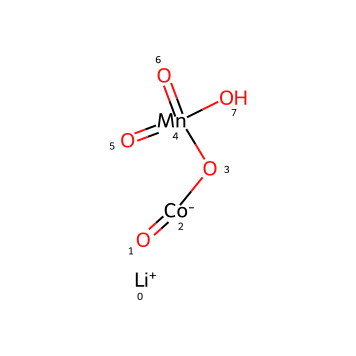 [Li+].[O]=[Co-][O][Mn](=[O])(=[O])[OH]